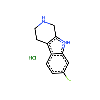 Cl.Fc1ccc2c3c([nH]c2c1)CNCC3